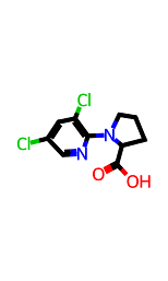 O=C(O)C1CCCN1c1ncc(Cl)cc1Cl